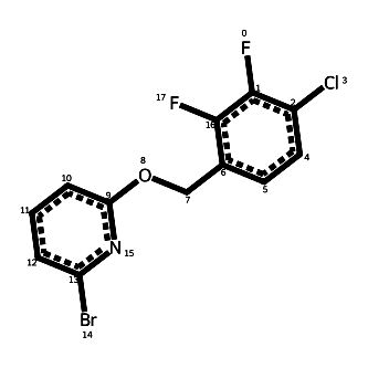 Fc1c(Cl)ccc(COc2cccc(Br)n2)c1F